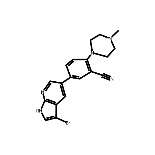 CN1CCN(c2ccc(-c3cnc4[nH]cc(Br)c4c3)cc2C#N)CC1